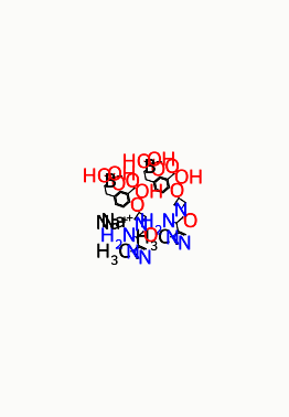 Cn1cncc1C(N)C(=O)N1CC(Oc2ccc3c(c2C(=O)O)O[B-](O)(O)CC3)C1.Cn1cncc1C(N)C(=O)N1CC(Oc2ccc3c(c2C(=O)O)O[B-](O)(O)CC3)C1.[Na+].[Na+]